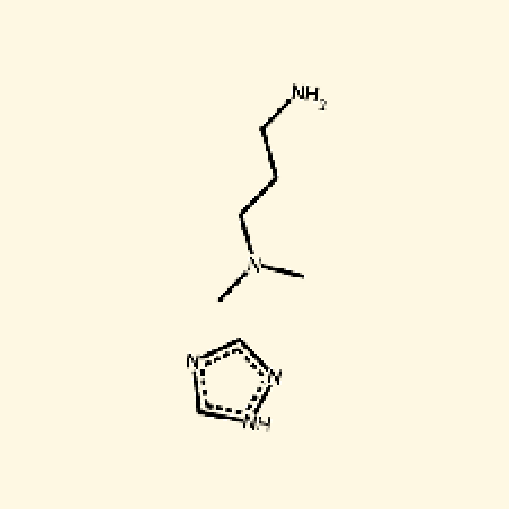 CN(C)CCCN.c1nc[nH]n1